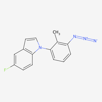 Cc1c(N=[N+]=[N-])cccc1-n1ccc2cc(F)ccc21